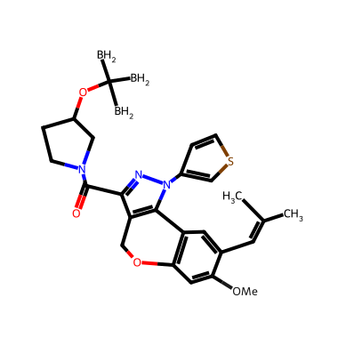 BC(B)(B)OC1CCN(C(=O)c2nn(-c3ccsc3)c3c2COc2cc(OC)c(C=C(C)C)cc2-3)C1